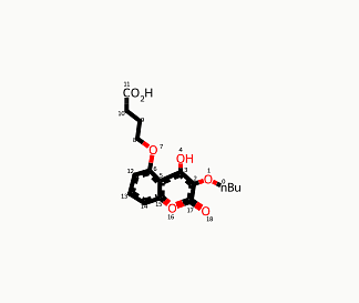 CCCCOc1c(O)c2c(OCCCC(=O)O)cccc2oc1=O